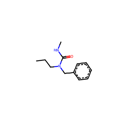 CCCN(Cc1ccccc1)C(=O)NC